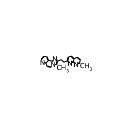 Cc1ccc2ccc(CCc3nc4c5cccnc5ccn4c3C)nc2n1